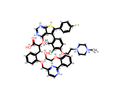 Cc1c(-c2c(-c3ccc(F)cc3)sc3ncnc(OC(Cc4ccccc4OCc4ccnc(-c5ccccc5OCCO)n4)C(=O)O)c23)ccc(OCCN2CCN(C)CC2)c1Cl